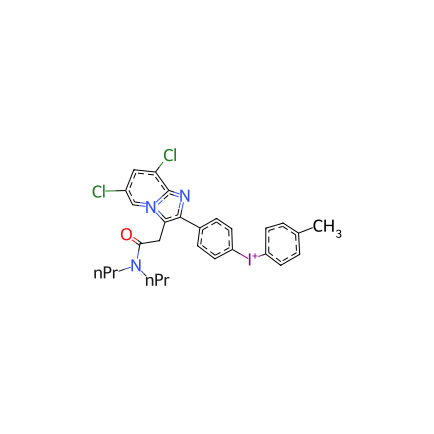 CCCN(CCC)C(=O)Cc1c(-c2ccc([I+]c3ccc(C)cc3)cc2)nc2c(Cl)cc(Cl)cn12